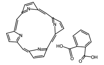 C1=CC2=NC1=CC1=NC(=CC3=NC(=CC4=NC(=C2)C=C4)C=C3)C=C1.O=C(O)c1ccccc1C(=O)O